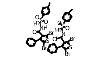 Cc1ccc(S(=O)(=O)NN=C(Cl)c2c(Br)sc(Br)c2-c2ccccc2)cc1.Cc1ccc(S(=O)(=O)NNC(=O)c2c(Br)sc(Br)c2-c2ccccc2)cc1